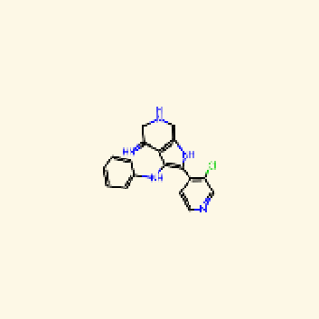 N=C1CNCc2[nH]c(-c3ccncc3Cl)c(Nc3ccccc3)c21